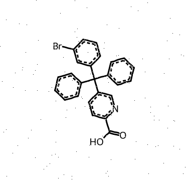 O=C(O)c1ccc(C(c2ccccc2)(c2ccccc2)c2cccc(Br)c2)cn1